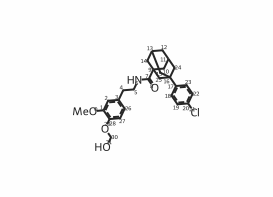 COc1cc(CCNC(=O)C23CC4CC(C2)CC(c2ccc(Cl)cc2)(C4)C3)ccc1OCO